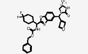 O=C(NC(c1nc2cc(C(C3COC3)N3C[C@@H](C(F)(F)F)NC3=O)ccc2o1)C1CCC(F)(F)CC1)OCc1ccccc1